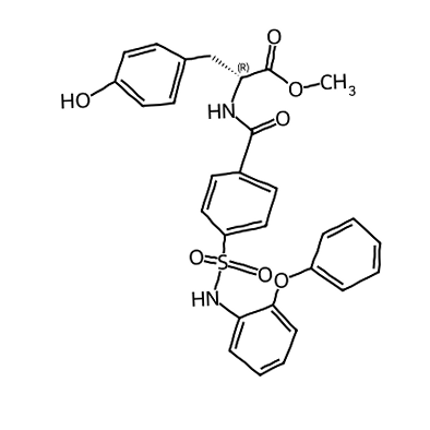 COC(=O)[C@@H](Cc1ccc(O)cc1)NC(=O)c1ccc(S(=O)(=O)Nc2ccccc2Oc2ccccc2)cc1